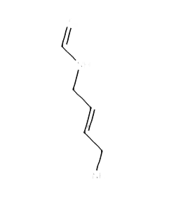 [NH]CC=CCNC=S